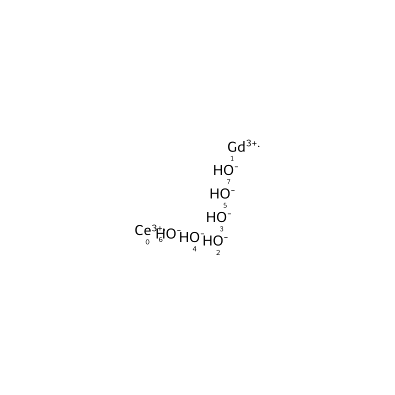 [Ce+3].[Gd+3].[OH-].[OH-].[OH-].[OH-].[OH-].[OH-]